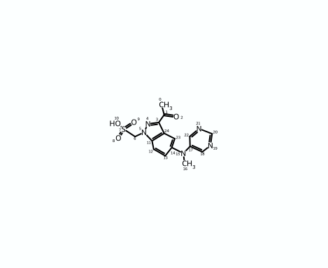 CC(=O)c1nn(CS(=O)(=O)O)c2ccc(N(C)c3cncnc3)cc12